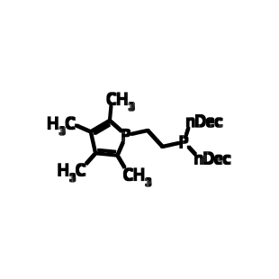 CCCCCCCCCCP(CCCCCCCCCC)CCp1c(C)c(C)c(C)c1C